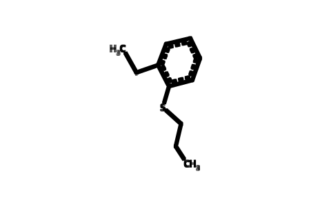 C[CH]c1ccccc1SCCC